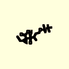 CCC1CC1(C(=O)O)S(=O)(=O)C(C)CCO[Si](C)(C)C(C)(C)C